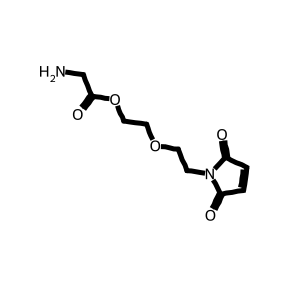 NCC(=O)OCCOCCN1C(=O)C=CC1=O